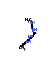 CCCCCCNCCCCNC[C@H]1C[C@H]1CNCCCCNCC